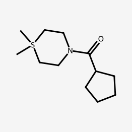 CS1(C)CCN(C(=O)C2CCCC2)CC1